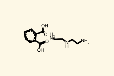 NCCNCCN.O=C(O)c1ccccc1C(=O)O